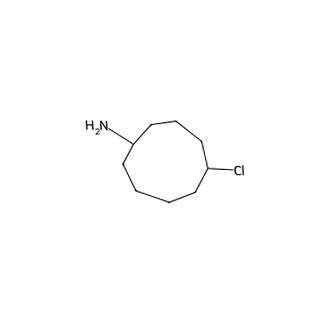 NC1CCCCC(Cl)CCC1